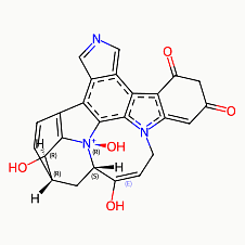 O=C1C=c2c(c3c4c(c5c6c3n2C/C=C(/O)[C@@H]2C[C@@H]3C=CC5=C([C@@H]3O)[N@+]62O)C=NC=4)C(=O)C1